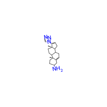 C[C@]12CC[C@H](N)CC1=CCC1C2CC[C@]2(C)C(n3ccnn3)=CCC12